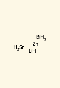 [BiH3].[LiH].[SrH2].[Zn]